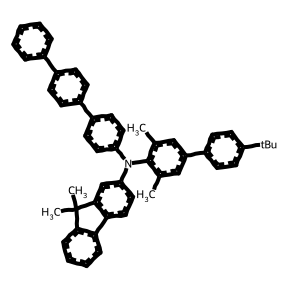 Cc1cc(-c2ccc(C(C)(C)C)cc2)cc(C)c1N(c1ccc(-c2ccc(-c3ccccc3)cc2)cc1)c1ccc2c(c1)C(C)(C)c1ccccc1-2